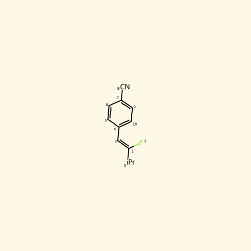 CC(C)/C(F)=C/c1ccc(C#N)cc1